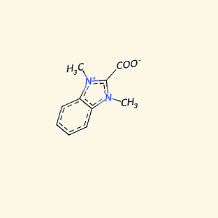 Cn1c(C(=O)[O-])[n+](C)c2ccccc21